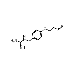 N=C(N)NCc1ccc(OCCSF)cc1